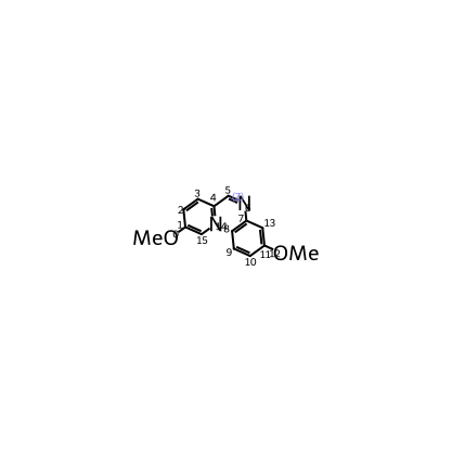 COc1ccc(/C=N\c2cccc(OC)c2)nc1